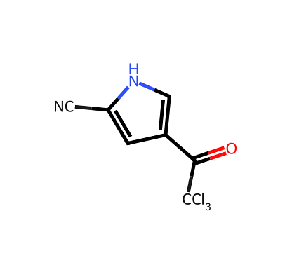 N#Cc1cc(C(=O)C(Cl)(Cl)Cl)c[nH]1